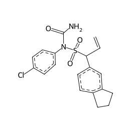 C=CC(c1ccc2c(c1)CCC2)S(=O)(=O)N(C(N)=O)c1ccc(Cl)cc1